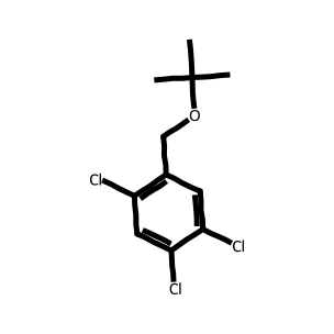 CC(C)(C)OCc1cc(Cl)c(Cl)cc1Cl